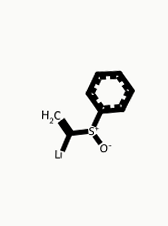 [Li][C](=C)[S+]([O-])c1ccccc1